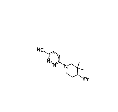 CC(C)C1CCN(c2ccc(C#N)nn2)CC1(C)C